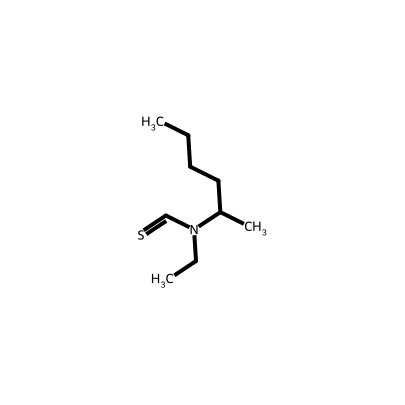 CCCCC(C)N(C=S)CC